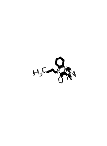 CCCCn1c2c(n3cnnc3c1=O)CCCC2